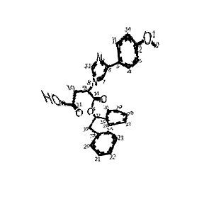 COc1ccc(-c2cn(C(CC(=O)O)C(=O)OC(Cc3ccccc3)c3ccccc3)cn2)cc1